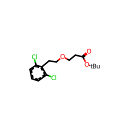 CC(C)(C)OC(=O)CCOCCc1c(Cl)cccc1Cl